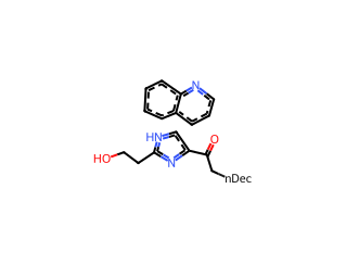 CCCCCCCCCCCC(=O)c1c[nH]c(CCO)n1.c1ccc2ncccc2c1